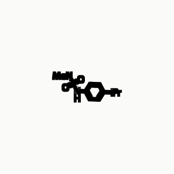 CNS(=O)(=O)Nc1ccc(C(C)C)cc1